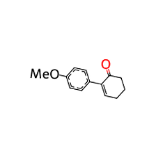 COc1ccc(C2=CCCCC2=O)cc1